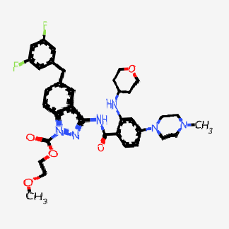 COCCOC(=O)n1nc(NC(=O)c2ccc(N3CCN(C)CC3)cc2NC2CCOCC2)c2cc(Cc3cc(F)cc(F)c3)ccc21